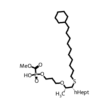 CCCCCCC[C@@H](SCCCCCCCCCCC1CCCCC1)[C@H](C)OCCCOP(=O)(O)C(=O)OC